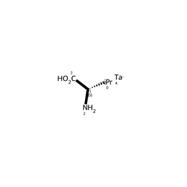 CC(C)[C@H](N)C(=O)O.[Ta]